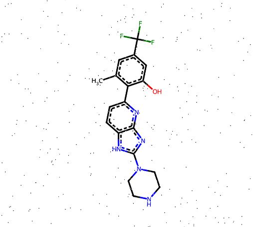 Cc1cc(C(F)(F)F)cc(O)c1-c1ccc2[nH]c(N3CCNCC3)nc2n1